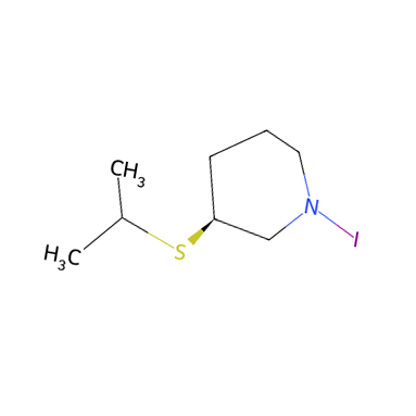 CC(C)S[C@H]1CCCN(I)C1